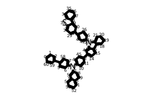 c1ccc(-c2ccc(N(c3ccc(-c4ccc5c6ccccc6n(-c6ccc(-c7ccc8sc9ccccc9c8c7)cc6)c5c4)cc3)c3ccc4ccccc4c3)cc2)cc1